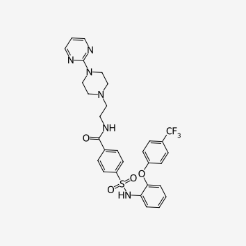 O=C(NCCN1CCN(c2ncccn2)CC1)c1ccc(S(=O)(=O)Nc2ccccc2Oc2ccc(C(F)(F)F)cc2)cc1